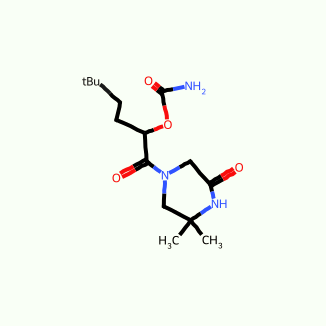 CC(C)(C)CCC(OC(N)=O)C(=O)N1CC(=O)NC(C)(C)C1